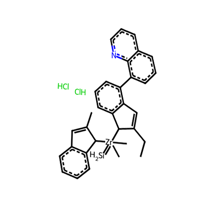 CCC1=Cc2c(-c3cccc4cccnc34)cccc2[CH]1[Zr]([CH3])([CH3])(=[SiH2])[CH]1C(C)=Cc2ccccc21.Cl.Cl